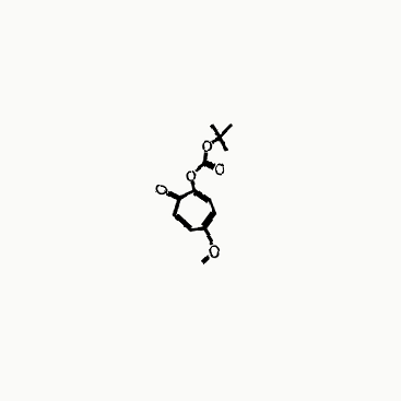 COc1ccc(OC(=O)OC(C)(C)C)c(=O)cc1